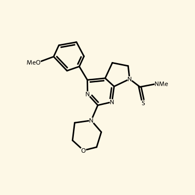 CNC(=S)N1CCc2c(-c3cccc(OC)c3)nc(N3CCOCC3)nc21